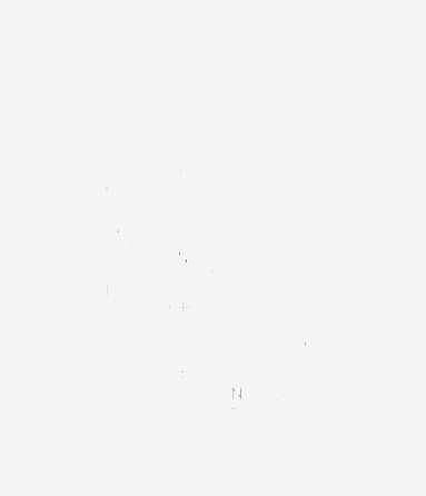 Cc1cccc2c1CCCC2CN(C(=O)[C@@](C)(O)F)c1ccc2c(=O)onc(C)c2c1